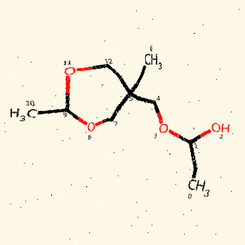 CC(O)OCC1(C)COC(C)OC1